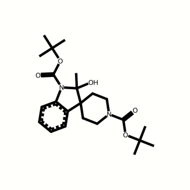 CC(C)(C)OC(=O)N1CCC2(CC1)c1ccccc1N(C(=O)OC(C)(C)C)C2(C)O